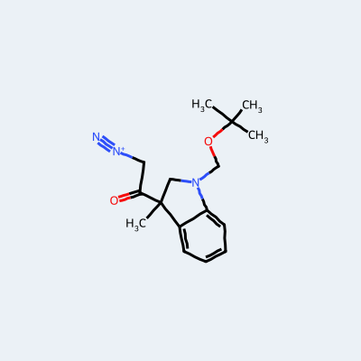 CC(C)(C)OCN1CC(C)(C(=O)C[N+]#N)c2ccccc21